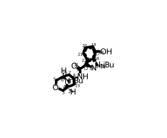 CCCCN1[C@@H]2COC[C@H]1C[C@@H](NC(=O)c1nn([C@@H](C)CC)c3c(O)cccc13)C2